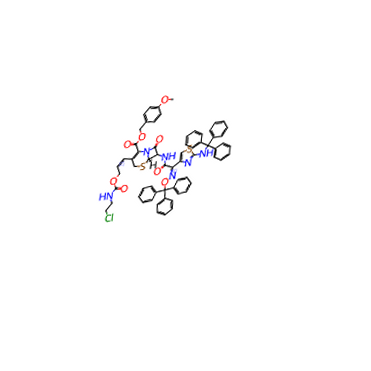 COc1ccc(COC(=O)C2=C(/C=C\COC(=O)NCCCl)CS[C@H]3C(NC(=O)/C(=N\OC(c4ccccc4)(c4ccccc4)c4ccccc4)c4csc(NC(c5ccccc5)(c5ccccc5)c5ccccc5)n4)C(=O)N23)cc1